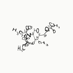 CC(=O)NC1[C@H](Cl)OC(COC(C)=O)[C@H](C)[C@H]1OC(C)=O